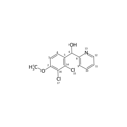 COc1ccc(C(O)c2ccccn2)c(Cl)c1Cl